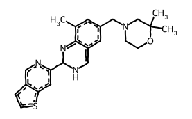 Cc1cc(CN2CCOC(C)(C)C2)cc2c1=NC(c1cc3sccc3cn1)NC=2